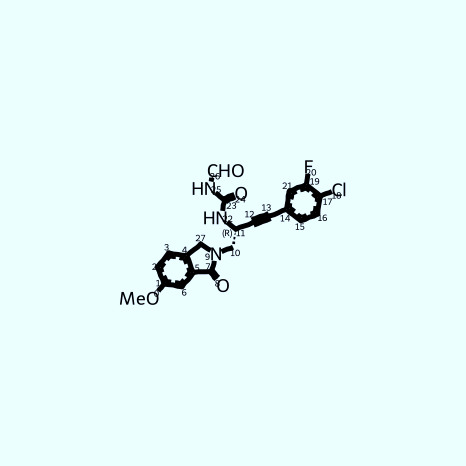 COc1ccc2c(c1)C(=O)N(C[C@@H](C#Cc1ccc(Cl)c(F)c1)NC(=O)NC=O)C2